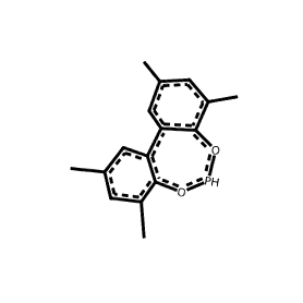 Cc1cc(C)c2o[pH]oc3c(C)cc(C)cc3c2c1